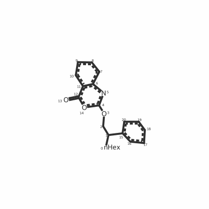 CCCCCCC(COc1nc2ccccc2c(=O)o1)c1ccccc1